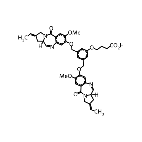 C/C=C1\C[C@H]2C=Nc3cc(OCc4cc(COc5cc6c(cc5OC)C(=O)N5C/C(=C/C)C[C@H]5C=N6)cc(OCCCC(=O)O)c4)c(OC)cc3C(=O)N2C1